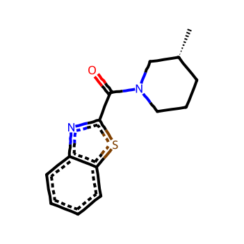 C[C@@H]1CCCN(C(=O)c2nc3ccccc3s2)C1